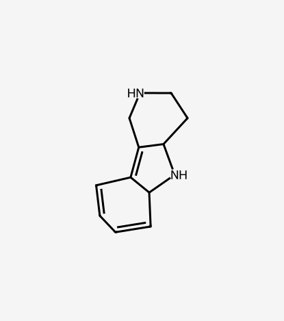 C1=CC2=C3CNCCC3NC2C=C1